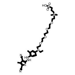 CCN(CCOCCOCCOCCOCC[N+](C)(C)CCCS(=O)(=O)O)c1ccc(NNc2sc(C#N)c(C)c2C#N)c(C)c1